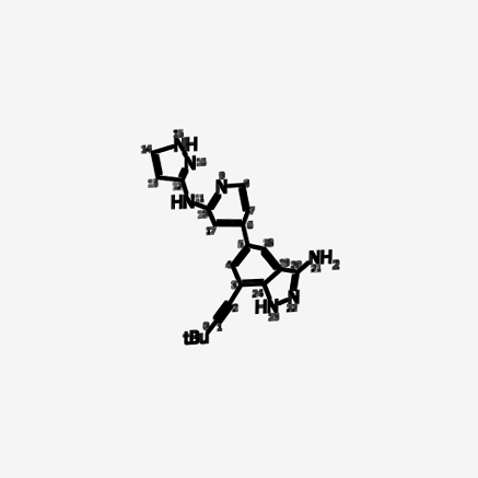 CC(C)(C)C#Cc1cc(-c2ccnc(Nc3cc[nH]n3)c2)cc2c(N)n[nH]c12